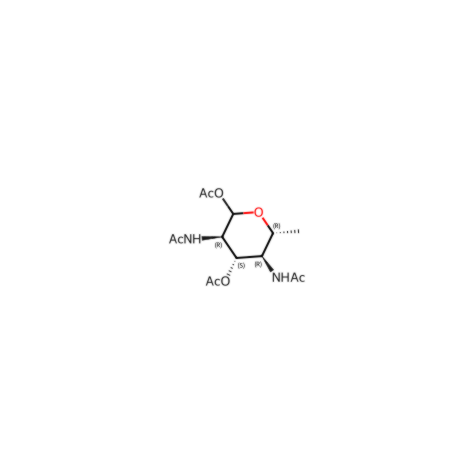 CC(=O)N[C@H]1[C@H](OC(C)=O)[C@@H](NC(C)=O)C(OC(C)=O)O[C@@H]1C